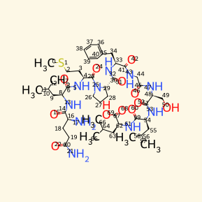 CSCC[C@H](NC(=O)[C@H](CC(C)C)NC(=O)[C@@H](N)CCC(N)=O)C(=O)N1CCC[C@H]1C(=O)N[C@@H](Cc1ccccc1)C(=O)NCC(=O)N[C@@H](CO)C(=O)N[C@@H](CC(C)C)C(=O)N[C@@H](CC(C)C)C(=O)O